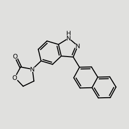 O=C1OCCN1c1ccc2[nH]nc(-c3ccc4ccccc4c3)c2c1